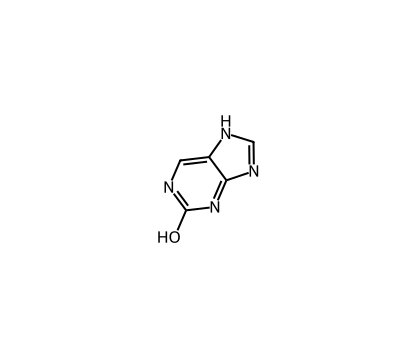 Oc1ncc2[nH]cnc2n1